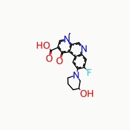 Cn1cc(C(=O)O)c(=O)c2c3cc(N4CCCC(O)C4)c(F)cc3ncc21